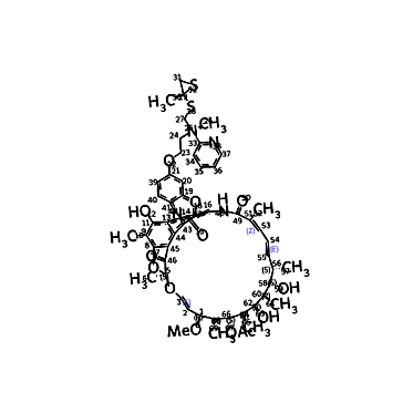 CO[C@H]1/C=C/O[C@@]2(C)Oc3c(C)c(O)c4c(=O)c(c5oc6cc(OCC[N+](C)(CSC7(C)CS7)c7ccccn7)ccc6nc-5c4c3C2=O)NC(=O)/C(C)=C\C=C\[C@H](C)[C@H](O)[C@@H](C)[C@@H](O)[C@@H](C)[C@H](OC(C)=O)[C@@H]1C